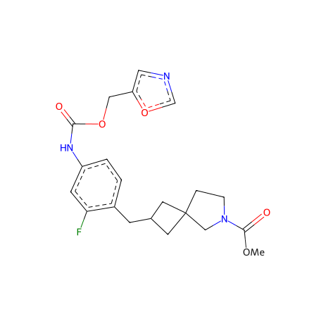 COC(=O)N1CCC2(CC(Cc3ccc(NC(=O)OCc4cnco4)cc3F)C2)C1